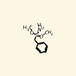 CO[Si](N)(Cc1ccccc1)OC